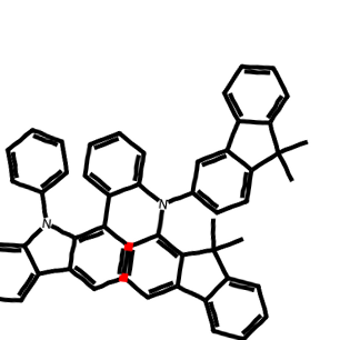 CC1(C)c2ccccc2-c2cc(N(c3ccccc3-c3cccc4c5ccccc5n(-c5ccccc5)c34)c3cccc4c3C(C)(C)c3ccccc3-4)ccc21